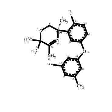 CC1(C)SC[C@@](C)(c2cc(Oc3cc(F)cc(C(F)(F)F)c3)ccc2F)N=C1N